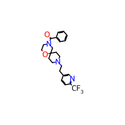 O=C(c1ccccc1)N1CCOC2(CCN(CCc3ccc(C(F)(F)F)nc3)CC2)C1